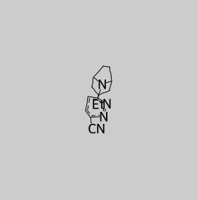 CCC1CC2CCC(C1)N2c1ccc(C#N)nn1